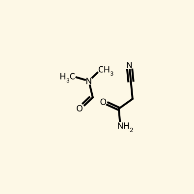 CN(C)C=O.N#CCC(N)=O